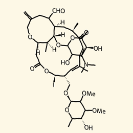 C=C1CO[C@@H]2CC(=O)O[C@H](I)[C@@H](CO[C@@H]3OC(C)[C@@H](O)C(OC)C3OC)/C=C(C)/C=C/C(=O)[C@H](C)C[C@H](C(C=O)C1)[C@H](OC1OC(C)[C@@H](O)C(N(C)C)C1O)[C@H]2C